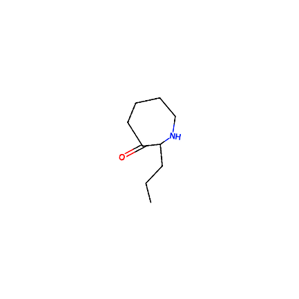 CCCC1NCCCCC1=O